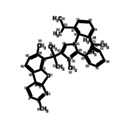 Cc1ccc2c(n1)oc1c(C(C)(C)c3cn(-c4c(C(C)C)cccc4C(C)C)c(-c4ccccc4C)[n+]3C)c(C)ccc12